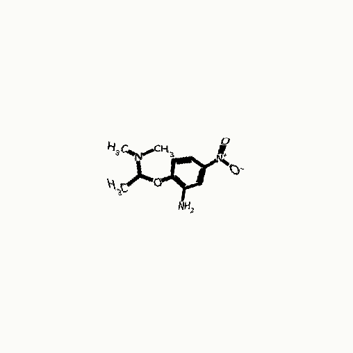 CC(Oc1ccc([N+](=O)[O-])cc1N)N(C)C